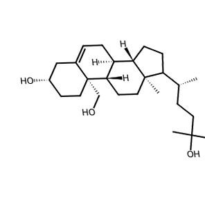 C[C@H](CCC(C)(C)O)C1CC[C@H]2[C@@H]3CC=C4C[C@@H](O)CC[C@]4(CO)[C@H]3CC[C@]12C